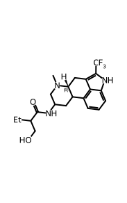 CCC(CO)C(=O)NC1CC2c3cccc4[nH]c(C(F)(F)F)c(c34)C[C@H]2N(C)C1